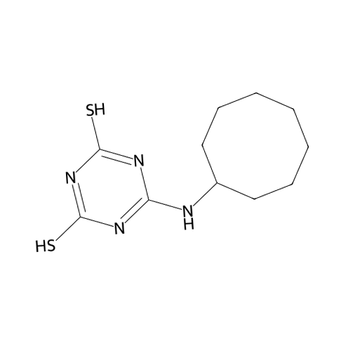 Sc1nc(S)nc(NC2CCCCCCC2)n1